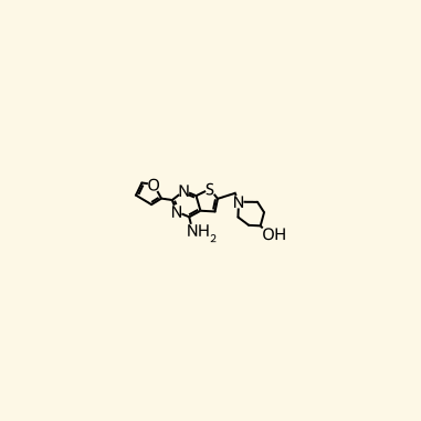 Nc1nc(-c2ccco2)nc2sc(CN3CCC(O)CC3)cc12